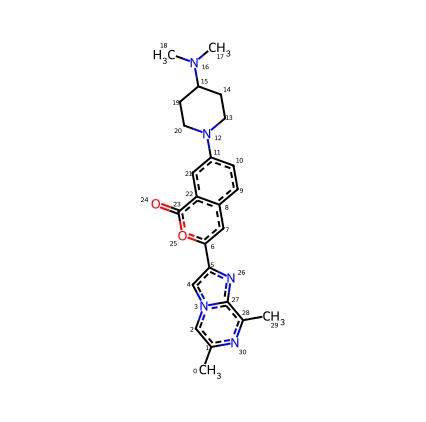 Cc1cn2cc(-c3cc4ccc(N5CCC(N(C)C)CC5)cc4c(=O)o3)nc2c(C)n1